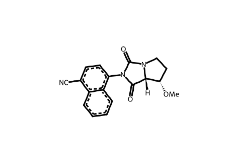 CO[C@H]1CCN2C(=O)N(c3ccc(C#N)c4ccccc34)C(=O)[C@@H]12